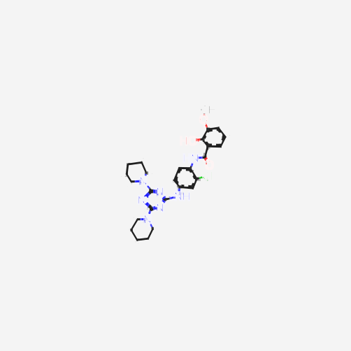 COc1cccc(C(=O)Nc2ccc(Nc3nc(N4CCCCC4)nc(N4CCCCC4)n3)cc2Cl)c1O